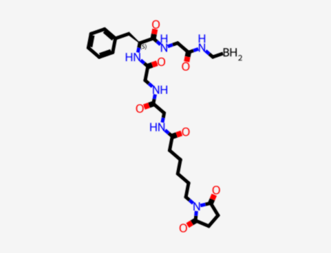 BCNC(=O)CNC(=O)[C@H](Cc1ccccc1)NC(=O)CNC(=O)CNC(=O)CCCCCN1C(=O)CCC1=O